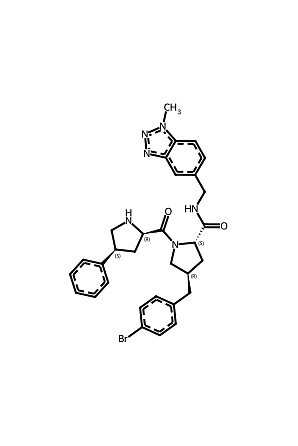 Cn1nnc2cc(CNC(=O)[C@@H]3C[C@@H](Cc4ccc(Br)cc4)CN3C(=O)[C@H]3C[C@@H](c4ccccc4)CN3)ccc21